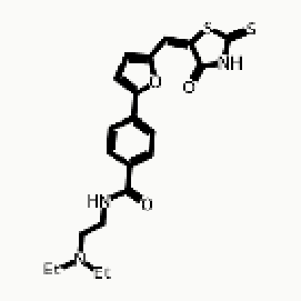 CCN(CC)CCNC(=O)c1ccc(-c2ccc(C=C3SC(=S)NC3=O)o2)cc1